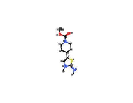 CN=c1sc(C2CCN(C(=O)OC(C)(C)C)CC2)cn1C